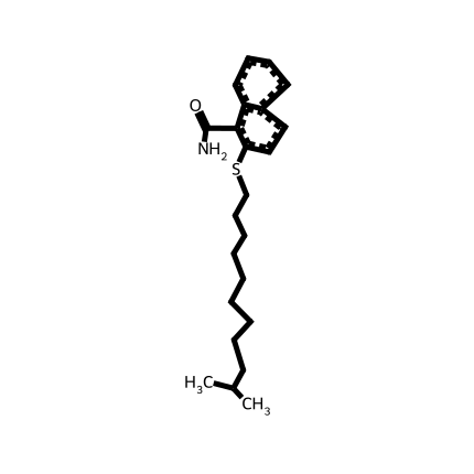 CC(C)CCCCCCCCCSc1ccc2ccccc2c1C(N)=O